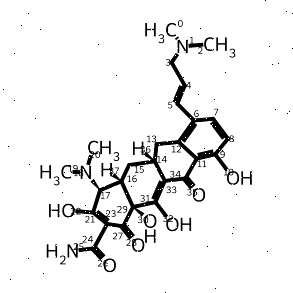 CN(C)C/C=C/c1ccc(O)c2c1C[C@H]1C[C@H]3[C@H](N(C)C)C(O)=C(C(N)=O)C(=O)[C@@]3(O)C(O)=C1C2=O